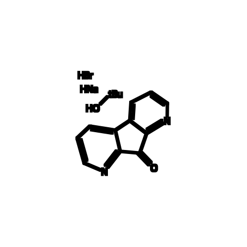 Br.CC(C)(C)O.O=C1c2ncccc2-c2cccnc21.[NaH]